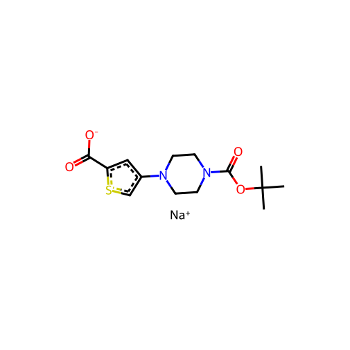 CC(C)(C)OC(=O)N1CCN(c2csc(C(=O)[O-])c2)CC1.[Na+]